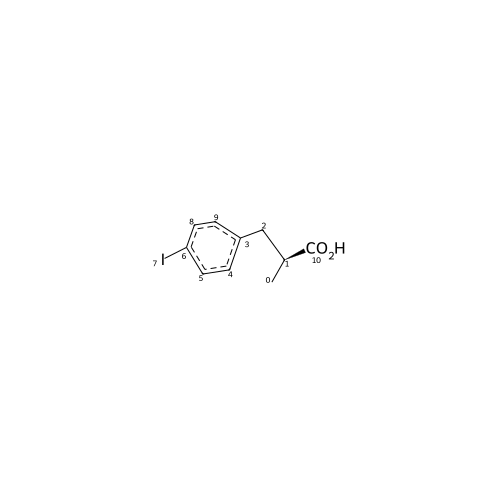 C[C@@H](Cc1ccc(I)cc1)C(=O)O